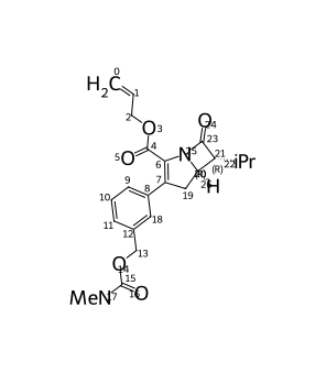 C=CCOC(=O)C1=C(c2cccc(COC(=O)NC)c2)C[C@@H]2[C@@H](C(C)C)C(=O)N12